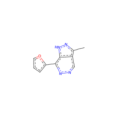 Cc1n[nH]c2c(-c3ccco3)nncc12